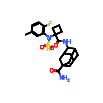 Cc1ccc(F)c(N([SH](=O)=O)C2(C(=O)NC3C4CC5CC3CC(C(N)=O)(C5)C4)CCC2)c1